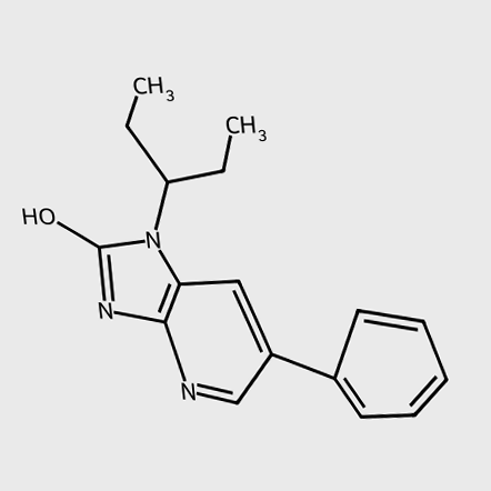 CCC(CC)n1c(O)nc2ncc(-c3ccccc3)cc21